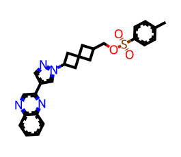 Cc1ccc(S(=O)(=O)OCC2CC3(C2)CC(n2cc(-c4cnc5ccccc5n4)cn2)C3)cc1